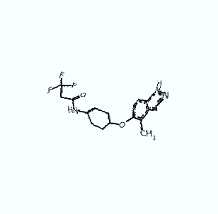 Cc1c(OC2CCC(NC(=O)CC(F)(F)F)CC2)ccc2[nH]ncc12